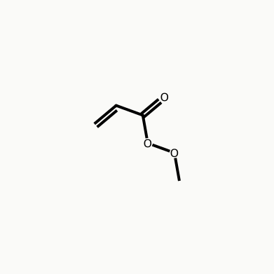 C=CC(=O)OOC